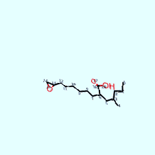 CCCC(C)CC(CCCCCCC1CO1)C(=O)O